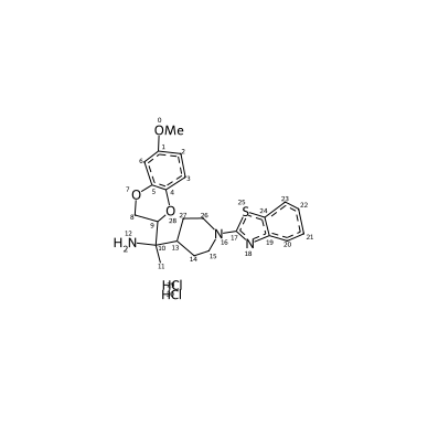 COc1ccc2c(c1)OCC(C(C)(N)C1CCN(c3nc4ccccc4s3)CC1)O2.Cl.Cl